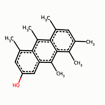 Cc1cc(C)c2c(C)c3c(C)cc(O)cc3c(C)c2c1C